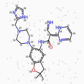 CC1(C)Cc2cc(NC(=O)/C(C=N)=C3\N=CC=CN3)c(N3CCN(Cc4ncc[nH]4)CC3)cc2O1